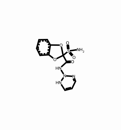 NS(=O)(=O)C1(C(=O)NN2N=CC=CN2)Oc2ccccc2O1